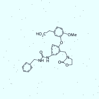 COc1ccc(CC(=O)O)cc1Oc1ccc(NC(=O)NCc2ccccc2)cc1CN1CCOC1=O